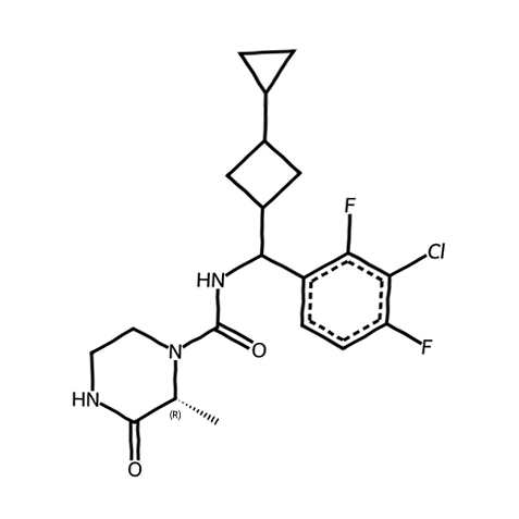 C[C@@H]1C(=O)NCCN1C(=O)NC(c1ccc(F)c(Cl)c1F)C1CC(C2CC2)C1